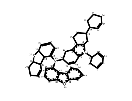 C1=CCC(n2c3c(c4c2CC(C2C=CCCC2)CC4)CC(N(C2=CC=CC4SC5CCC=CC5C24)c2cccc4oc5ccccc5c24)C=C3)C=C1